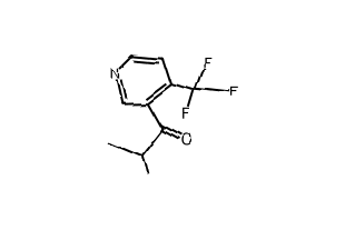 CC(C)C(=O)c1cnccc1C(F)(F)F